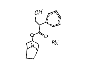 CN1C2CCC1CC(OC(=O)C(CO)c1ccccc1)C2.[Pb]